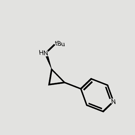 CC(C)(C)N[C@@H]1CC1c1ccncc1